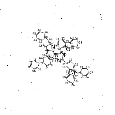 c1ccc(-c2ccc(-c3nc(-c4ccc5c(c4)c4ccccc4n5-c4ccccc4)nc(-c4c(-n5c6ccccc6c6cc7ccccc7cc65)ccc5c4oc4ccccc45)n3)cc2)cc1